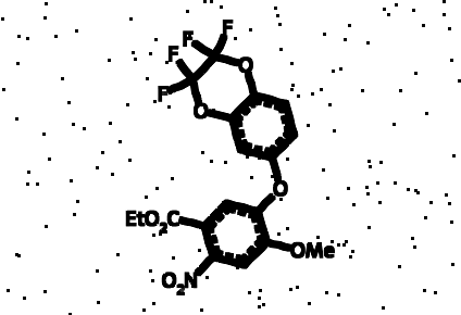 CCOC(=O)c1cc(Oc2ccc3c(c2)OC(F)(F)C(F)(F)O3)c(OC)cc1[N+](=O)[O-]